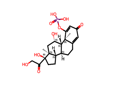 C[C@@]12C(=CC(=O)C=C1OP(=O)(O)O)CC[C@@H]1[C@@H]2[C@@H](O)C[C@@]2(C)[C@H]1CC[C@]2(O)C(=O)CO